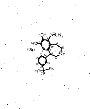 Br.CSc1c(O)c(O)cc2c1CCNCC2c1cccc(C(F)(F)F)c1